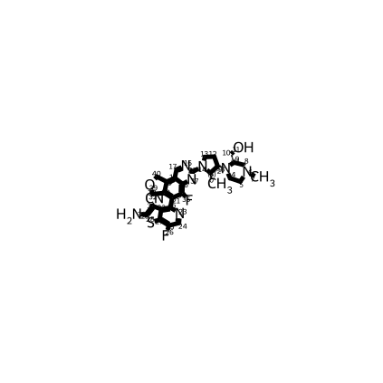 C[C@H]1[C@@H](N2CCN(C)C[C@H]2CO)CCN1c1ncc2c3c(c(-c4ncc(F)c5sc(N)c(C#N)c45)c(F)c2n1)COC3